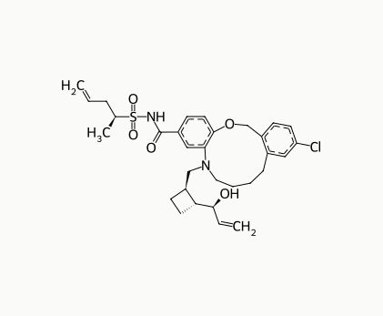 C=CC[C@H](C)S(=O)(=O)NC(=O)c1ccc2c(c1)N(C[C@@H]1CC[C@H]1[C@@H](O)C=C)CCCCc1cc(Cl)ccc1CO2